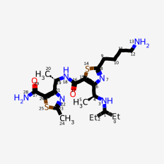 CCC(CC)N[C@@H](C)c1nc(CCCCN)sc1C(=O)N[C@@H](C)c1nc(C)sc1C(N)=O